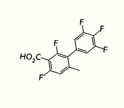 Cc1cc(F)c(C(=O)O)c(F)c1-c1cc(F)c(F)c(F)c1